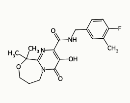 Cc1cc(CNC(=O)c2nc3n(c(=O)c2O)CCCOC3(C)C)ccc1F